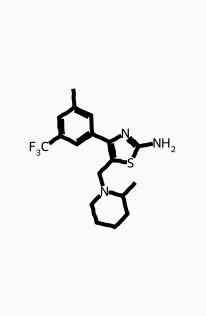 Cc1cc(-c2nc(N)sc2CN2CCCCC2C)cc(C(F)(F)F)c1